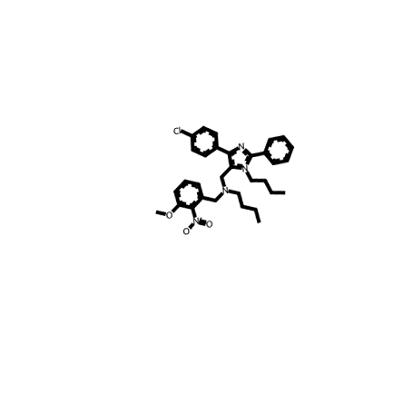 CCCCN(Cc1cccc(OC)c1[N+](=O)[O-])Cc1c(-c2ccc(Cl)cc2)nc(-c2ccccc2)n1CCCC